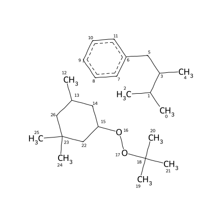 CC(C)C(C)Cc1cc[c]cc1.CC1CC(OOC(C)(C)C)CC(C)(C)C1